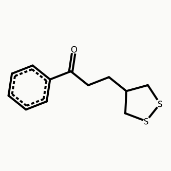 O=C(CCC1CSSC1)c1ccccc1